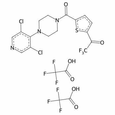 O=C(O)C(F)(F)F.O=C(O)C(F)(F)F.O=C(c1ccc(C(=O)C(F)(F)F)s1)N1CCN(c2c(Cl)cncc2Cl)CC1